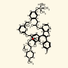 Cc1c(-c2c(-c3ccc(F)cc3)sc3ncnc(OC(Cc4cc(O[Si](C)(C)C(C)(C)C)ccc4OCc4ccnc(OCCC(F)(F)F)n4)C(=O)O)c23)ccc(O[C@@H](CO)CN2CCN(C)CC2)c1Cl